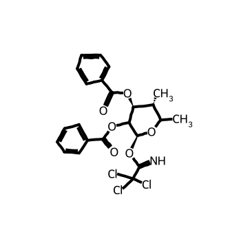 CC1O[C@@H](OC(=N)C(Cl)(Cl)Cl)C(OC(=O)c2ccccc2)[C@@H](OC(=O)c2ccccc2)[C@@H]1C